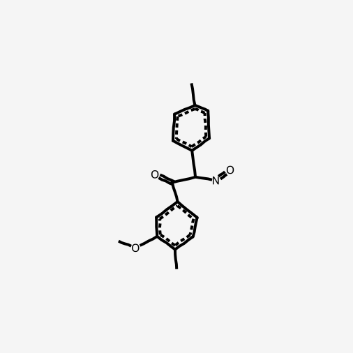 COc1cc(C(=O)C(N=O)c2ccc(C)cc2)ccc1C